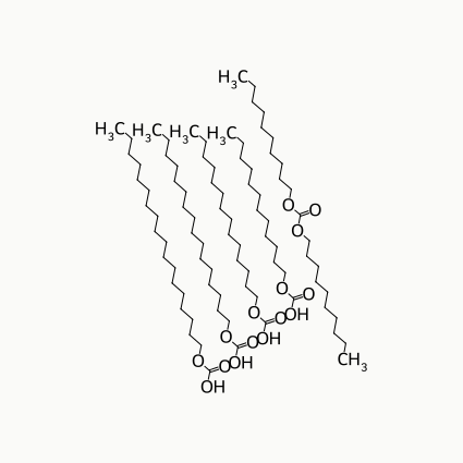 CCCCCCCCCCCCCCCCCCOC(=O)O.CCCCCCCCCCCCCCCCOC(=O)O.CCCCCCCCCCCCCCOC(=O)O.CCCCCCCCCCCCOC(=O)O.CCCCCCCCCCOC(=O)OCCCCCCCCCC